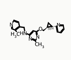 Cc1nc(NCc2ccncc2C)cc(OC[C@H]2C[C@@H]2c2ccccn2)n1